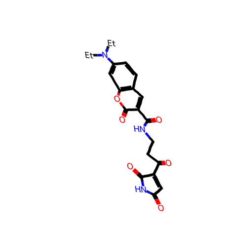 CCN(CC)c1ccc2cc(C(=O)NCCC(=O)C3=CC(=O)NC3=O)c(=O)oc2c1